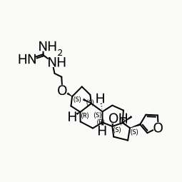 C[C@]12CC[C@H](OCCNC(=N)N)C[C@H]1CC[C@@H]1[C@@H]2CC[C@]2(C)[C@@H](c3ccoc3)CC[C@]12O